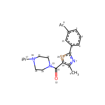 CC(=O)c1cccc(-c2nc(C)c(C(=O)N3CCN(C(C)C)CC3)s2)c1